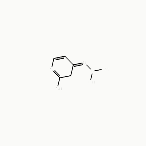 NC1=NC=CC(=NB(O)O)C1